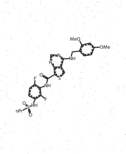 CCCS(=O)(=O)Nc1ccc(F)c(NC(=O)c2scc3c(NCc4ccc(OC)cc4OC)ncnc23)c1F